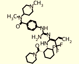 C=C/C(=C(\N=C(/N)Nc1ccc(C(=O)N(C)C2CCN(C)CC2)cc1)N[C@@H]1CCCC[C@@H]1C(=O)N1CCCCC1)C(F)(F)F